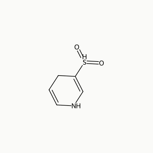 O=[SH](=O)C1=CNC=CC1